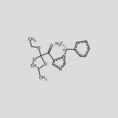 CCOC(OC)(OCC)C(=O)c1cncn1[C@H](C)c1ccccc1